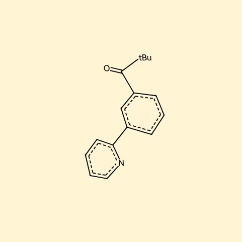 CC(C)(C)C(=O)c1cccc(-c2ccccn2)c1